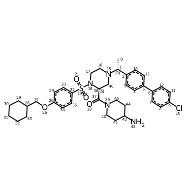 C[C@H](c1ccc(-c2ccc(Cl)cc2)cc1)N1CCN(S(=O)(=O)c2ccc(OCC3CCCCC3)cc2)[C@H](C(=O)N2CCC(N)CC2)C1